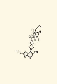 N#Cc1cnc2sc(CC(F)(F)F)cc2c1N1CC2(CN(C(=O)[C@H]3N[C@H]4CC[C@@H]3C[C@H]4CC3CC3)C2)C1